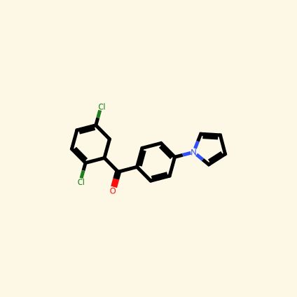 O=C(c1ccc(-n2cccc2)cc1)C1CC(Cl)=CC=C1Cl